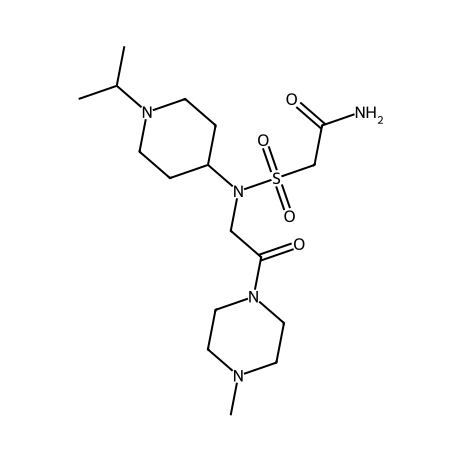 CC(C)N1CCC(N(CC(=O)N2CCN(C)CC2)S(=O)(=O)CC(N)=O)CC1